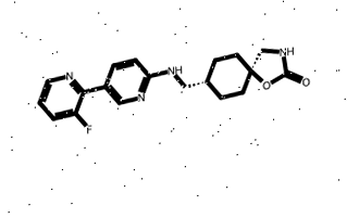 O=C1NC[C@]2(CC[C@@H](CNc3ccc(-c4ncccc4F)cn3)CC2)O1